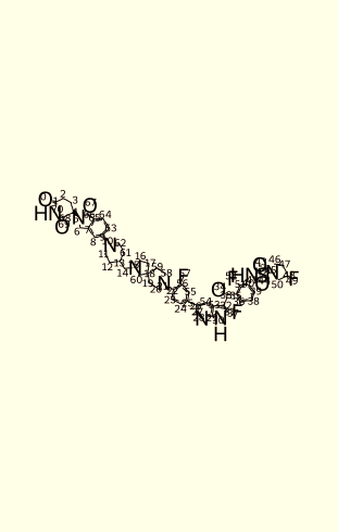 O=C1CCC(N2Cc3cc(N4CCC(CN5CCC6(CCN(c7ccc(-c8cnc9[nH]cc(C(=O)c%10c(F)ccc(NS(=O)(=O)N%11CC[C@@H](F)C%11)c%10F)c9c8)cc7F)CC6)C5)CC4)ccc3C2=O)C(=O)N1